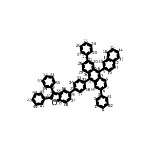 c1ccc(-c2ccc3c(-c4ccc5ccccc5c4)c4cc(-c5ccccc5)ccc4c(-c4ccc(-c5ccc6oc(-c7ccccc7)c(-c7ccccc7)c6c5)cc4)c3c2)cc1